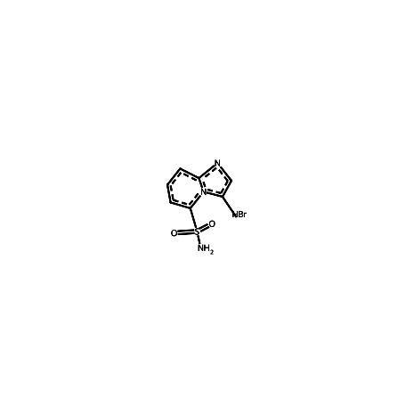 Br.Cc1cnc2cccc(S(N)(=O)=O)n12